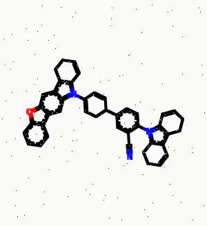 N#Cc1cc(C2C=CC(n3c4c(c5cc6oc7ccccc7c6cc53)CCC=C4)=CC2)ccc1-n1c2c(c3c1CCC=C3)CCC=C2